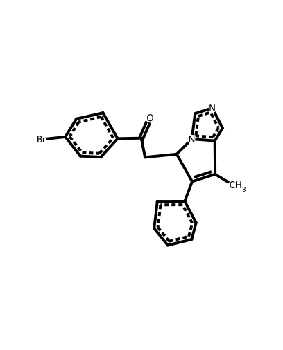 CC1=C(c2ccccc2)C(CC(=O)c2ccc(Br)cc2)n2cncc21